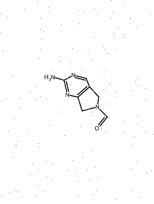 Nc1ncc2c(n1)CN([C]=O)C2